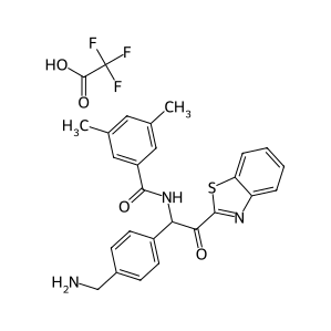 Cc1cc(C)cc(C(=O)NC(C(=O)c2nc3ccccc3s2)c2ccc(CN)cc2)c1.O=C(O)C(F)(F)F